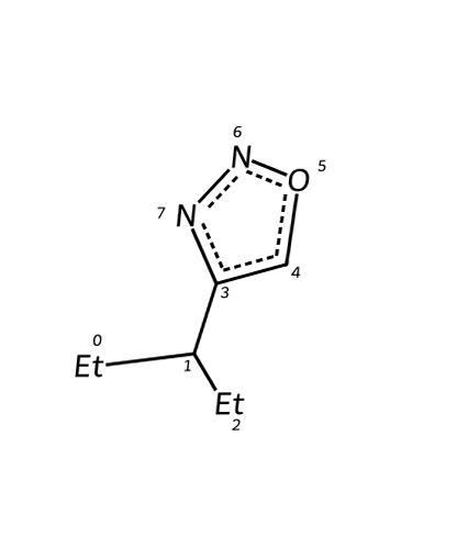 CCC(CC)c1conn1